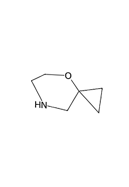 C1COC2(CC2)CN1